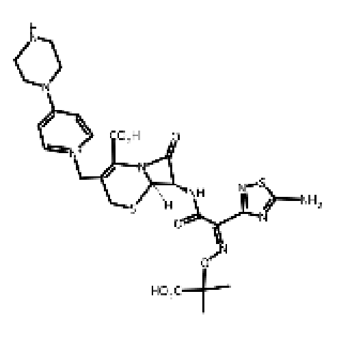 CC(C)(O/N=C(\C(=O)N[C@@H]1C(=O)N2C(C(=O)O)=C(C[n+]3ccc(N4CCNCC4)cc3)CS[C@H]12)c1nsc(N)n1)C(=O)O